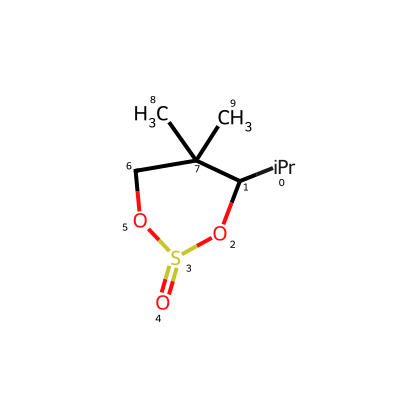 CC(C)C1OS(=O)OCC1(C)C